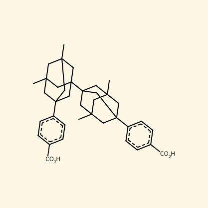 CC12CC3(C)CC(c4ccc(C(=O)O)cc4)(C1)CC(C14CC5(C)CC(C)(CC(c6ccc(C(=O)O)cc6)(C5)C1)C4)(C2)C3